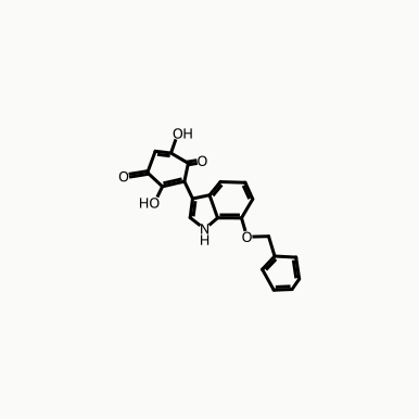 O=C1C=C(O)C(=O)C(c2c[nH]c3c(OCc4ccccc4)cccc23)=C1O